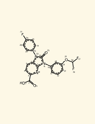 O=C(O)c1ccc2c(n1)n(-c1cccc(OC(F)F)c1)c(=O)n2-c1ccc(F)cc1